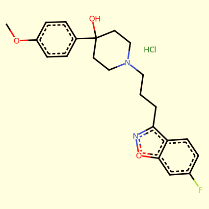 COc1ccc(C2(O)CCN(CCCc3noc4cc(F)ccc34)CC2)cc1.Cl